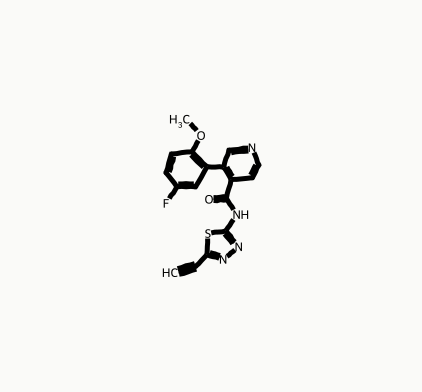 C#Cc1nnc(NC(=O)c2ccncc2-c2cc(F)ccc2OC)s1